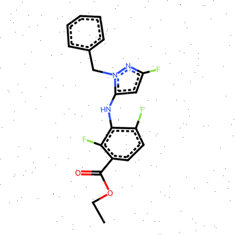 CCOC(=O)c1ccc(F)c(Nc2cc(F)nn2Cc2ccccc2)c1F